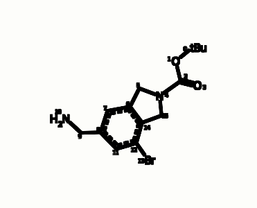 CC(C)(C)OC(=O)N1Cc2cc(CN)cc(Br)c2C1